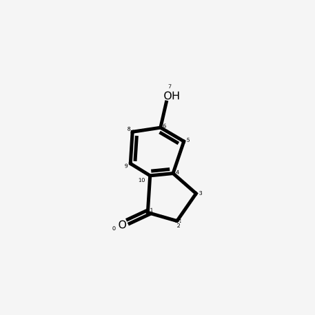 O=C1[C]Cc2cc(O)ccc21